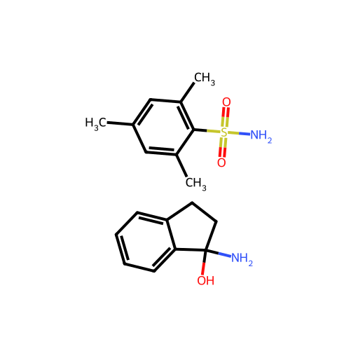 Cc1cc(C)c(S(N)(=O)=O)c(C)c1.NC1(O)CCc2ccccc21